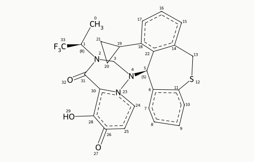 C[C@@H](N1CN([C@@H]2c3ccccc3SCc3cccc(C4CC4)c32)n2ccc(=O)c(O)c2C1=O)C(F)(F)F